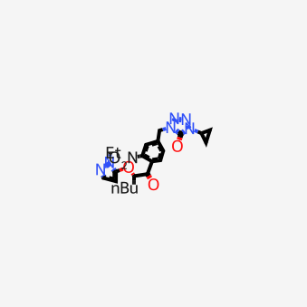 CCCCC(Oc1ccnn1CC)C(=O)c1ccc(Cn2nnn(C3CC3)c2=O)cc1[N+](=O)[O-]